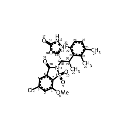 COc1cc(Cl)cc2c1S(=O)(=O)N([C@H](c1n[nH]c(=O)o1)[C@H](C)c1c(F)ccc(C)c1C)C2=O